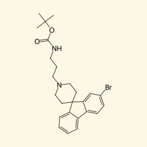 CC(C)(C)OC(=O)NCCCN1CCC2(CC1)c1ccccc1-c1ccc(Br)cc12